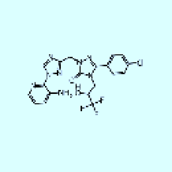 Nc1cccnc1-n1cnc(Cn2nc(-c3ccc(Cl)cc3)n(CC(O)C(F)(F)F)c2=O)n1